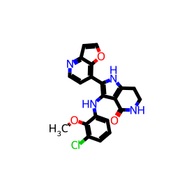 COc1c(Cl)cccc1Nc1c(-c2ccnc3ccoc23)[nH]c2c1C(=O)NCC2